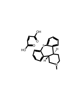 CN1CC[C@@H]2c3ccccc3Sc3ccccc3[C@H]2C1.O=C(O)/C=C\C(=O)O